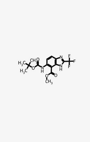 COC(=O)c1c(NC(=O)OC(C)(C)C)ccc2nc(C(F)(F)F)[nH]c12